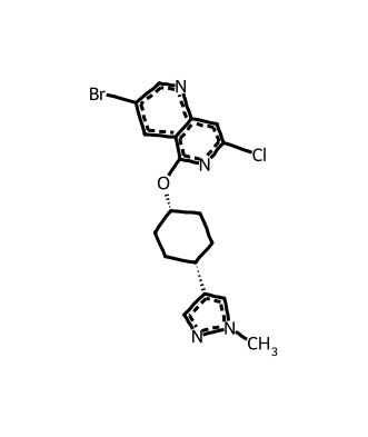 Cn1cc([C@H]2CC[C@@H](Oc3nc(Cl)cc4ncc(Br)cc34)CC2)cn1